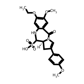 CCOc1cc2c(cc1OC)C(=O)N1C=C(c3ccc(OC)cc3)C[C@H]1C(S(=O)(=O)O)N2